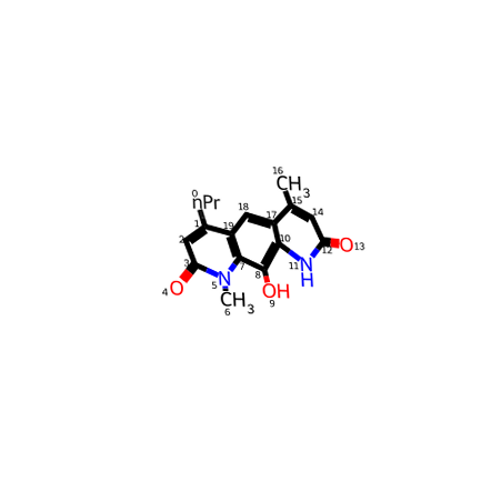 CCCc1cc(=O)n(C)c2c(O)c3[nH]c(=O)cc(C)c3cc12